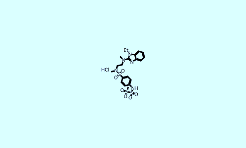 CCn1c(N(C)CCN(C)S(=O)(=O)c2ccc(NS(=O)(=O)S(C)(=O)=O)cc2)nc2ccccc21.Cl